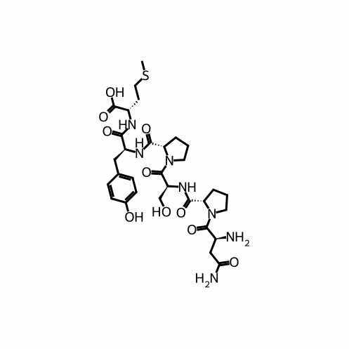 CSCC[C@H](NC(=O)[C@H](Cc1ccc(O)cc1)NC(=O)[C@@H]1CCCN1C(=O)[C@H](CO)NC(=O)[C@@H]1CCCN1C(=O)[C@@H](N)CC(N)=O)C(=O)O